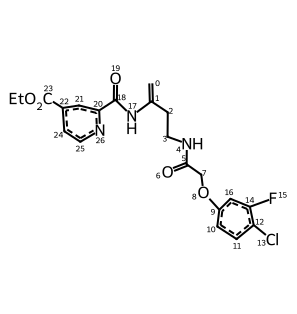 C=C(CCNC(=O)COc1ccc(Cl)c(F)c1)NC(=O)c1cc(C(=O)OCC)ccn1